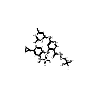 Cc1cc(Nc2cc(Nc3ccc(C4CC4)cc3N(C)S(C)(=O)=O)c(C(=O)NOCC(F)(F)F)cn2)nc(C)n1